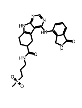 CS(=O)(=O)CCCNC(=O)C1CCc2[nH]c3ncnc(Nc4cccc5c4CNC5=O)c3c2C1